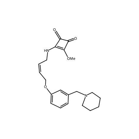 COc1c(NC/C=C\COc2cccc(CN3CCCCC3)c2)c(=O)c1=O